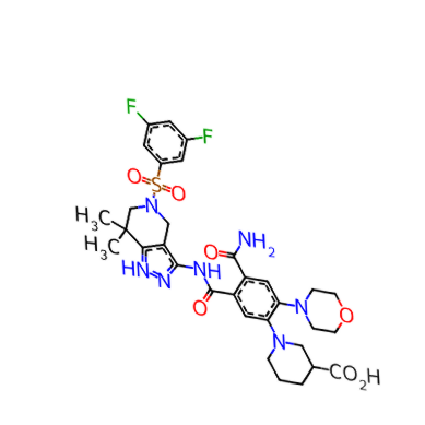 CC1(C)CN(S(=O)(=O)c2cc(F)cc(F)c2)Cc2c(NC(=O)c3cc(N4CCCC(C(=O)O)C4)c(N4CCOCC4)cc3C(N)=O)n[nH]c21